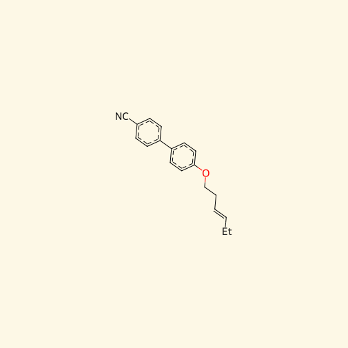 CCC=CCCOc1ccc(-c2ccc(C#N)cc2)cc1